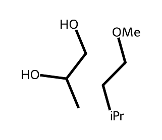 CC(O)CO.COCCC(C)C